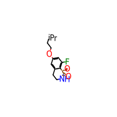 CC(C)CCOc1cc(F)c2c(c1)CCNS2(=O)=O